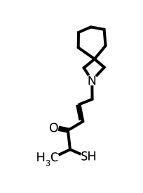 CC(S)C(=O)/C=C/CN1CC2(CCCCC2)C1